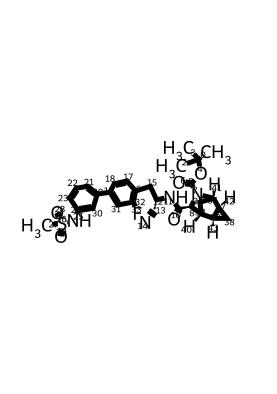 CC(C)(C)OC(=O)N1[C@H](C(=O)N[C@H](C#N)Cc2ccc(-c3cccc(NS(C)(=O)=O)c3)cc2F)[C@@H]2C[C@H]1[C@H]1C[C@@H]21